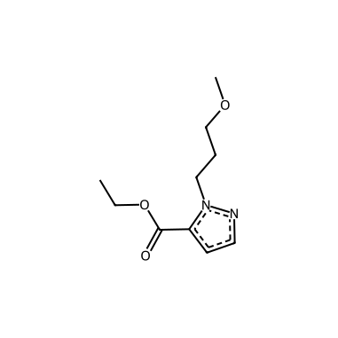 CCOC(=O)c1ccnn1CCCOC